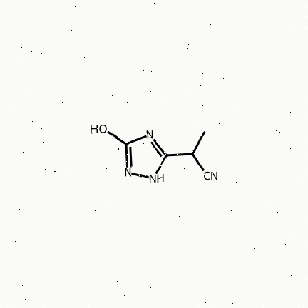 CC(C#N)c1nc(O)n[nH]1